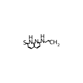 C=CCNc1ccc2ccc(=S)[nH]c2n1